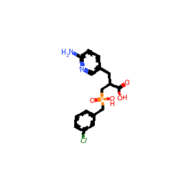 Nc1ccc(CC(CP(=O)(O)Cc2cccc(Cl)c2)C(=O)O)cn1